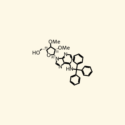 COC1[C@@H](CO)O[C@@H](n2cnc3c(NC(c4ccccc4)(c4ccccc4)c4ccccc4)ncnc32)[C@H]1OC